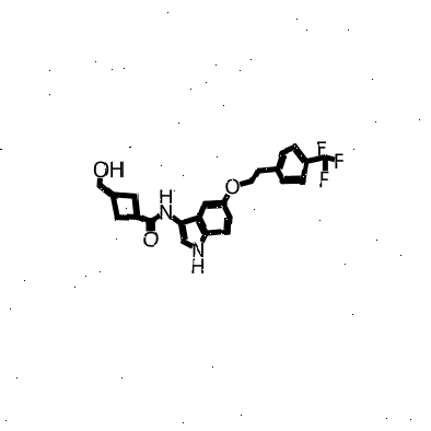 O=C(Nc1c[nH]c2ccc(OCCc3ccc(C(F)(F)F)cc3)cc12)C1CC(CO)C1